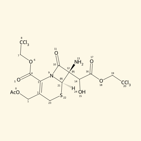 CC(=O)OCC1=C(C(=O)OCC(Cl)(Cl)Cl)N2C(=O)[C@](N)(C(O)C(=O)OCC(Cl)(Cl)Cl)[C@H]2SC1